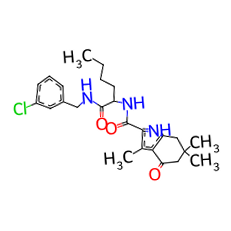 CCCCC(NC(=O)c1[nH]c2c(c1C)C(=O)CC(C)(C)C2)C(=O)NCc1cccc(Cl)c1